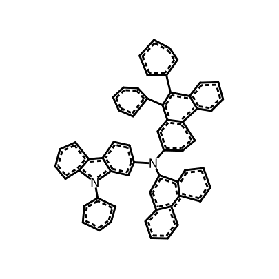 c1ccc(-c2c(-c3ccccc3)c3cc(N(c4ccc5c6ccccc6n(-c6ccccc6)c5c4)c4cc5ccccc5c5ccccc45)ccc3c3ccccc23)cc1